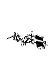 CCS(=O)(=O)c1cnc(CNc2nc3cnc(-c4c(C)ncnc4C4CC4)nc3n([C@H](C)C(C)C)c2=O)nc1